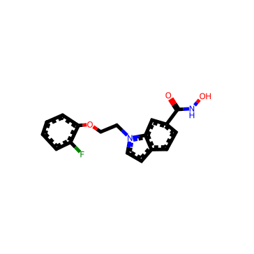 O=C(NO)c1ccc2ccn(CCOc3ccccc3F)c2c1